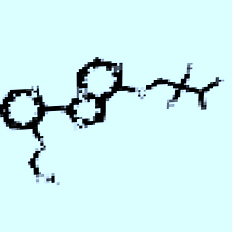 CCSc1cccnc1-c1ncc2c(OCC(F)(F)C(F)F)nccn12